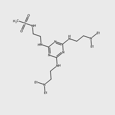 CCN(CC)CCNc1nc(NCCNS(C)(=O)=O)nc(NCCN(CC)CC)n1